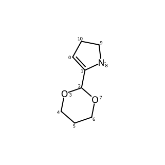 C1=C(C2OCCCO2)[N]CC1